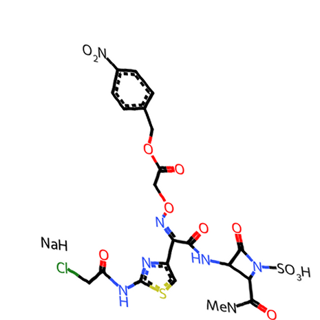 CNC(=O)C1C(NC(=O)/C(=N\OCC(=O)OCc2ccc([N+](=O)[O-])cc2)c2csc(NC(=O)CCl)n2)C(=O)N1S(=O)(=O)O.[NaH]